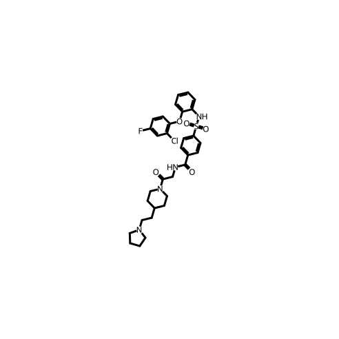 O=C(NCC(=O)N1CCC(CCN2CCCC2)CC1)c1ccc(S(=O)(=O)Nc2ccccc2Oc2ccc(F)cc2Cl)cc1